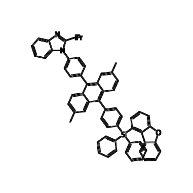 Cc1ccc2c(-c3ccc([Si](c4ccccc4)(c4ccccc4)c4cccc5oc6ccccc6c45)cc3)c3cc(C)ccc3c(-c3ccc(-n4c(C(C)C)nc5ccccc54)cc3)c2c1